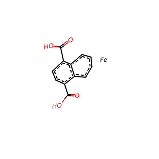 O=C(O)c1ccc(C(=O)O)c2ccccc12.[Fe]